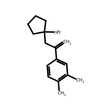 C=C(CC1(CCC)CCCC1)c1ccc(C)c(C)c1